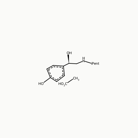 CC(=O)O.CCCC(C)NC[C@H](O)c1ccc(O)cc1